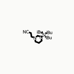 CCC(C)[Si](C(C)CC)(C(C)CC)N1CCCN(CCC#N)C1